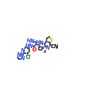 N#Cc1ncc(N/C(=C(\C=N)C(=O)Nc2cnc(-n3nccn3)c(Cl)c2)C(F)(F)F)c2ccsc12